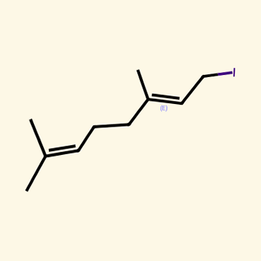 CC(C)=CCC/C(C)=C/CI